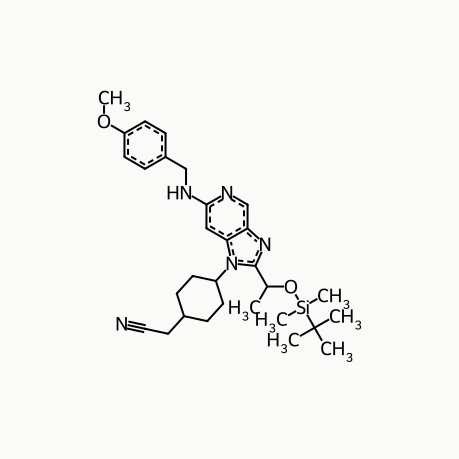 COc1ccc(CNc2cc3c(cn2)nc(C(C)O[Si](C)(C)C(C)(C)C)n3C2CCC(CC#N)CC2)cc1